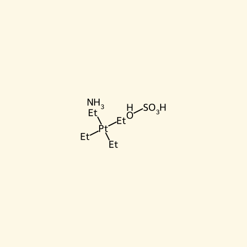 C[CH2][Pt]([CH2]C)([CH2]C)[CH2]C.N.O=S(=O)(O)O